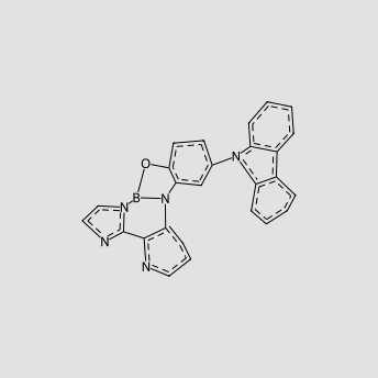 c1cnc2c(c1)N1B(Oc3ccc(-n4c5ccccc5c5ccccc54)cc31)n1ccnc1-2